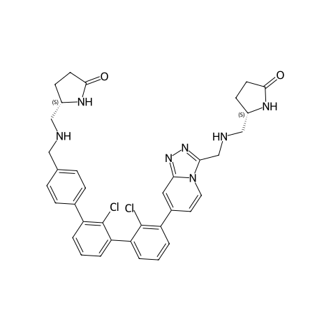 O=C1CC[C@@H](CNCc2ccc(-c3cccc(-c4cccc(-c5ccn6c(CNC[C@@H]7CCC(=O)N7)nnc6c5)c4Cl)c3Cl)cc2)N1